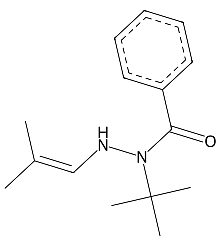 CC(C)=CNN(C(=O)c1ccccc1)C(C)(C)C